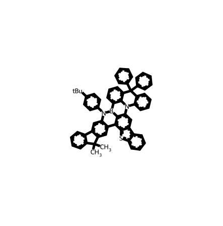 CC(C)(C)c1ccc(N2B3c4cccc5c4N(c4ccccc4C5(c4ccccc4)c4ccccc4)c4cc5c(sc6ccccc65)c(c43)-c3cc4c(cc32)-c2ccccc2C4(C)C)cc1